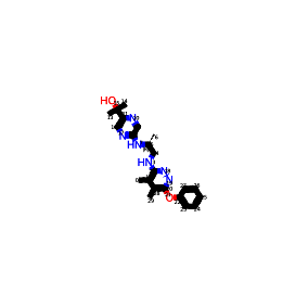 Cc1c(NC[C@@H](C)Nc2cnc(C(C)(C)O)cn2)nnc(Oc2ccccc2)c1C